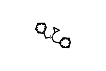 c1ccc(CN(Cc2ccccc2)[C]2CC2)cc1